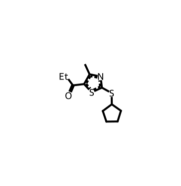 CCC(=O)c1sc(SC2CCCC2)nc1C